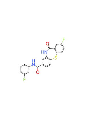 O=C(Nc1cccc(F)c1)c1ccc2c(c1)NC(=O)c1cc(F)ccc1S2